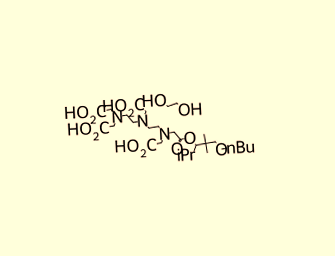 CCCCOCC(C)(C)C(OC(=O)CN(CCN(CCN(CC(=O)O)CC(=O)O)CC(=O)O)CC(=O)O)C(C)C.OCCO